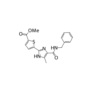 COC(=O)c1ccc(-c2nc(C(=O)NCc3ccccc3)c(C)[nH]2)s1